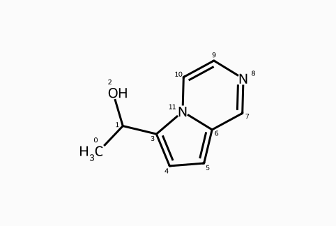 CC(O)c1ccc2cnccn12